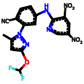 Cc1cc(OC(F)F)nn1-c1cc(Nc2ncc([N+](=O)[O-])cc2[N+](=O)[O-])ccc1C#N